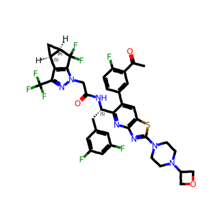 CC(=O)c1cc(-c2cc3sc(N4CCN(C5COC5)CC4)nc3nc2[C@H](Cc2cc(F)cc(F)c2)NC(=O)Cn2nc(C(F)(F)F)c3c2C(F)(F)[C@@H]2C[C@H]32)ccc1F